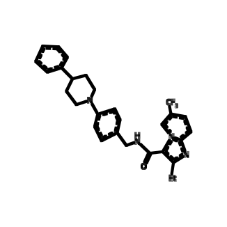 CCc1nc2ccc(C(F)(F)F)cn2c1C(=O)NCc1ccc(N2CCC(c3ccccc3)CC2)cc1